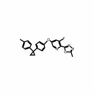 Cc1ccc(C2(c3ccc(Oc4cnc(-c5nnc(C)o5)c(F)c4)cc3)CC2)cc1